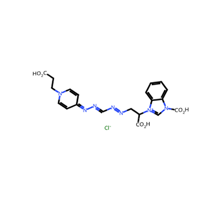 O=C(O)CCn1ccc(=NN=CN=NCC(C(=O)O)[n+]2cn(C(=O)O)c3ccccc32)cc1.[Cl-]